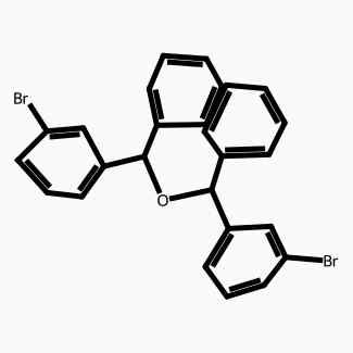 Brc1cccc(C(OC(c2ccccc2)c2cccc(Br)c2)c2ccccc2)c1